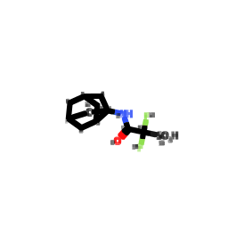 O=C(NC12CC3CC(CC1C3)C2)C(F)(F)S(=O)(=O)O